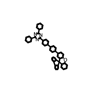 c1ccc(-c2nc(-c3ccccc3)nc(-c3ccc(-c4ccc(-c5ccc6c(c5)C5(c7ccccc7O6)c6ccccc6-c6ccccc65)cc4)cc3)n2)cc1